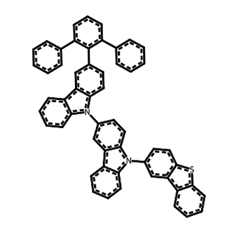 c1ccc(-c2cccc(-c3ccccc3)c2-c2ccc3c(c2)c2ccccc2n3-c2ccc3c(c2)c2ccccc2n3-c2ccc3sc4ccccc4c3c2)cc1